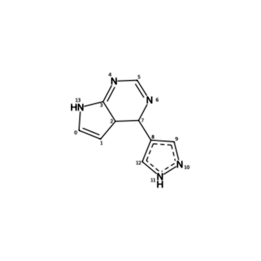 C1=CC2C(=NC=NC2c2cn[nH]c2)N1